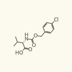 CC(C)[C@H](NC(=O)OCc1ccc(Cl)cc1)C(=O)O